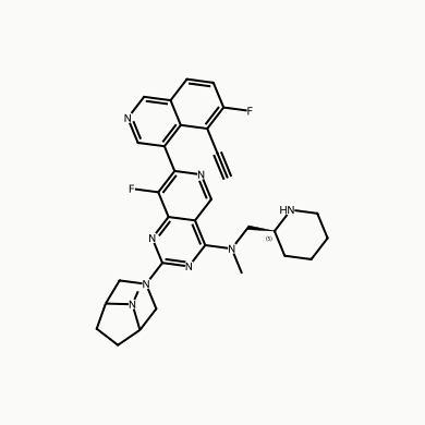 C#Cc1c(F)ccc2cncc(-c3ncc4c(N(C)C[C@@H]5CCCCN5)nc(N5CC6CCC(C5)N6C)nc4c3F)c12